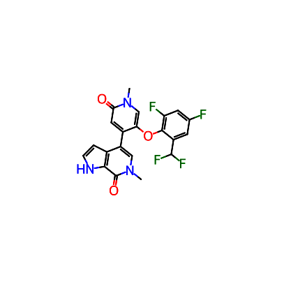 Cn1cc(Oc2c(F)cc(F)cc2C(F)F)c(-c2cn(C)c(=O)c3[nH]ccc23)cc1=O